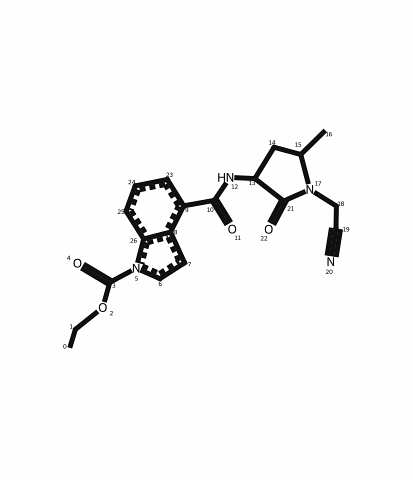 CCOC(=O)n1ccc2c(C(=O)NC3CC(C)N(CC#N)C3=O)cccc21